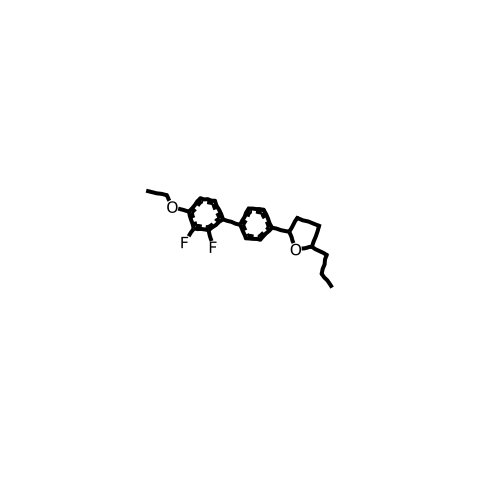 CCCC1CCC(c2ccc(-c3ccc(OCC)c(F)c3F)cc2)O1